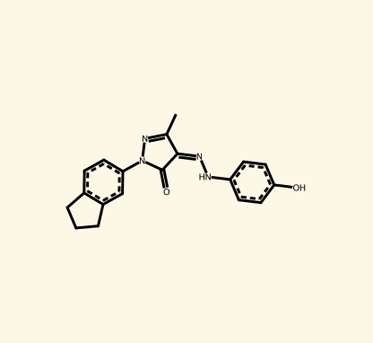 CC1=NN(c2ccc3c(c2)CCC3)C(=O)C1=NNc1ccc(O)cc1